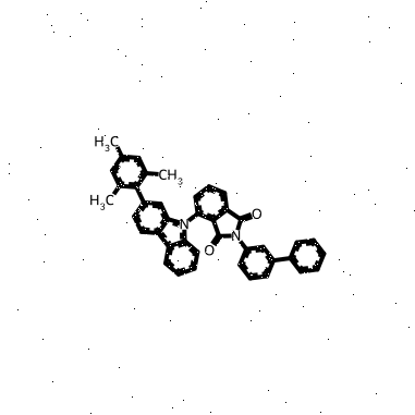 Cc1cc(C)c(-c2ccc3c4ccccc4n(-c4cccc5c4C(=O)N(c4cccc(-c6ccccc6)c4)C5=O)c3c2)c(C)c1